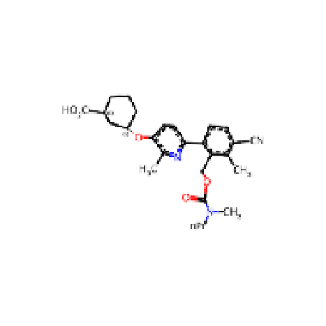 CCCN(C)C(=O)OCc1c(-c2ccc(O[C@H]3CCC[C@H](C(=O)O)C3)c(C)n2)ccc(C#N)c1C